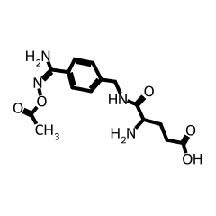 CC(=O)O/N=C(/N)c1ccc(CNC(=O)C(N)CCC(=O)O)cc1